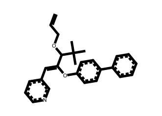 C=CCOC(C(=Cc1cccnc1)Oc1ccc(-c2ccccc2)cc1)C(C)(C)C